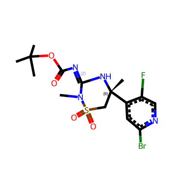 CN1/C(=N\C(=O)OC(C)(C)C)N[C@](C)(c2cc(Br)ncc2F)CS1(=O)=O